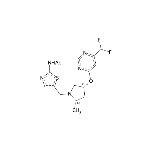 CC(=O)Nc1ncc(CN2C[C@H](Oc3cc(C(F)F)ncn3)C[C@@H]2C)s1